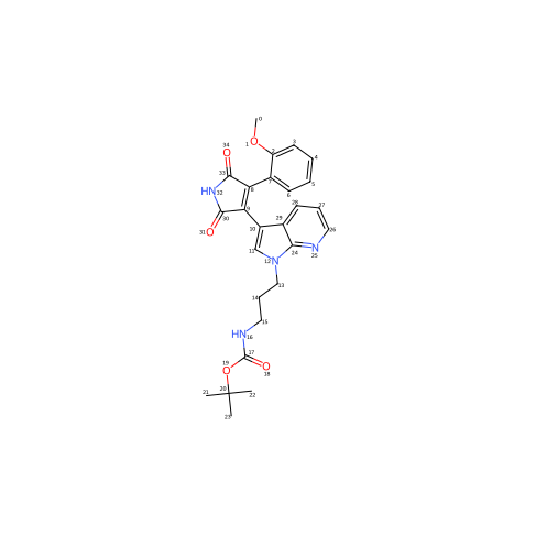 COc1ccccc1C1=C(c2cn(CCCNC(=O)OC(C)(C)C)c3ncccc23)C(=O)NC1=O